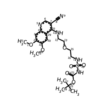 COc1cc2ncc(C#N)c(NCCOCCNS(=O)(=O)NC(=O)OC(C)(C)C)c2cc1OC